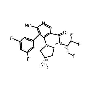 N#Cc1ncc(C(=O)N[C@@H](CF)C(F)F)c(N2CC[C@H](N)C2)c1-c1cc(F)cc(F)c1